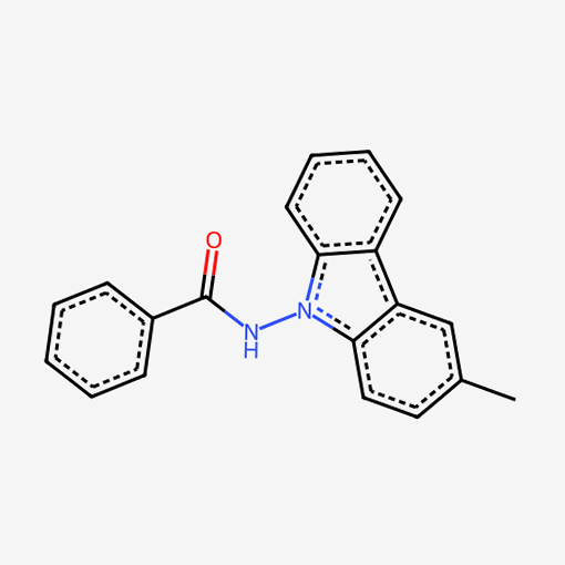 Cc1ccc2c(c1)c1ccccc1n2NC(=O)c1ccccc1